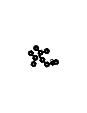 c1ccc(-c2cc(-c3ccccc3)cc(N(c3ccc(-c4cccc(-c5cc6ccccc6o5)c4)cc3)c3cc(-c4ccccc4)cc(-c4ccccc4)c3)c2)cc1